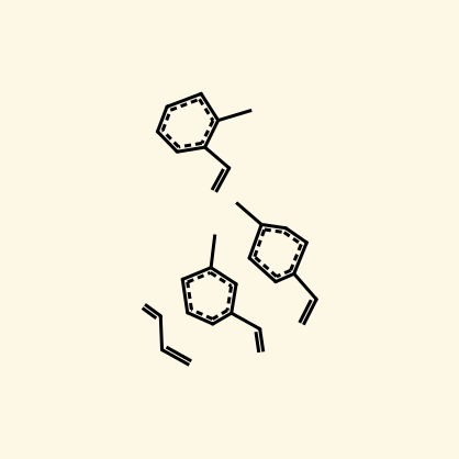 C=CC=C.C=Cc1ccc(C)cc1.C=Cc1cccc(C)c1.C=Cc1ccccc1C